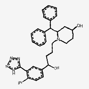 CC(C)c1ccc(C(O)CCCN2CCC(O)CC2C(c2ccccc2)c2ccccc2)cc1-c1nnn[nH]1